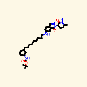 C=C1CCC(n2ncc3ccc(NCCCCCCCCCc4cccc(NC(=O)OC(C)(C)C)c4)cc3c2=O)C(=O)N1